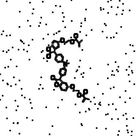 C=C(C)C(=O)OCCOc1ccc2c(c1)C(c1ccc(N(C)c3ccc(C4C(=O)Oc5ccc(OCCOC(=O)C(=C)C)cc54)cc3)cc1)C(=O)O2